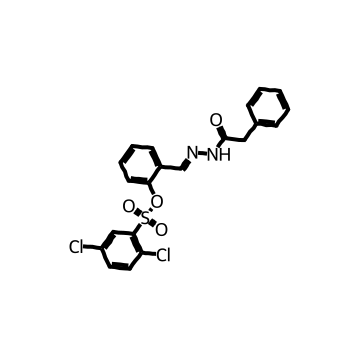 O=C(Cc1ccccc1)NN=Cc1ccccc1OS(=O)(=O)c1cc(Cl)ccc1Cl